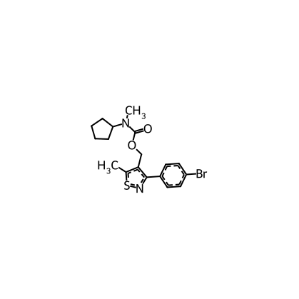 Cc1snc(-c2ccc(Br)cc2)c1COC(=O)N(C)C1CCCC1